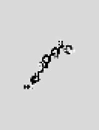 O=C(c1ccc(-c2ccc3oc(CCN4CC5CC4CC5O)cc3c2)nc1)N1CCOCC1